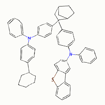 c1ccc(N(c2ccc(C3CCCCC3)cc2)c2ccc(C3(c4ccc(N(c5ccccc5)c5ccc6sc7ccccc7c6c5)cc4)CC4CCC3C4)cc2)cc1